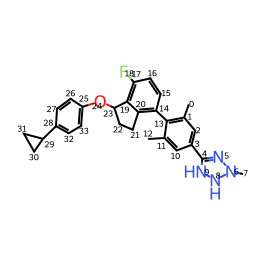 Cc1cc(C2=NN(C)NN2)cc(C)c1-c1ccc(F)c2c1CCC2Oc1ccc(C2CC2)cc1